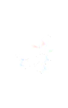 CCOC(=O)c1cc2c(-c3cnn(C)c3)ccnc2nc1Cl